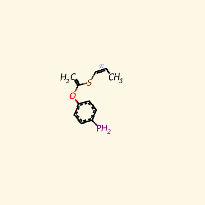 C=C(Oc1ccc(P)cc1)S/C=C\C